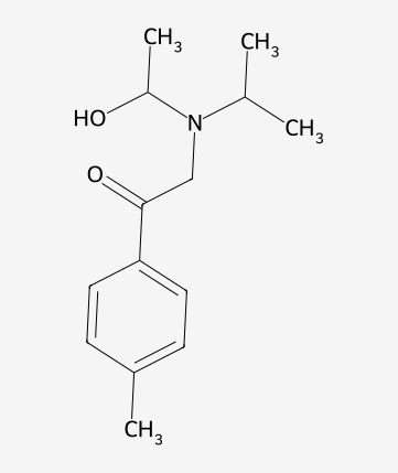 Cc1ccc(C(=O)CN(C(C)C)C(C)O)cc1